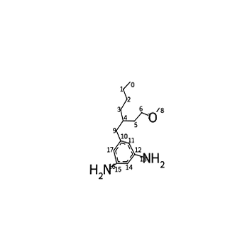 CCCCC(CCOC)Cc1cc(N)cc(N)c1